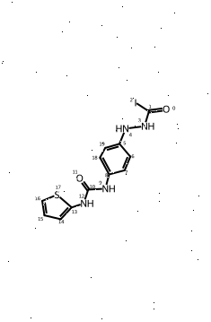 O=C(I)NNc1ccc(NC(=O)Nc2cccs2)cc1